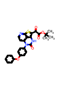 CC(C)(C)OC(=O)C(=O)c1sc2nccc3c2c1NC(=O)N3c1ccc(Oc2ccccc2)cc1